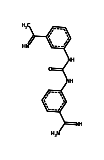 CC(=N)c1cccc(NC(=O)Nc2cccc(C(=N)N)c2)c1